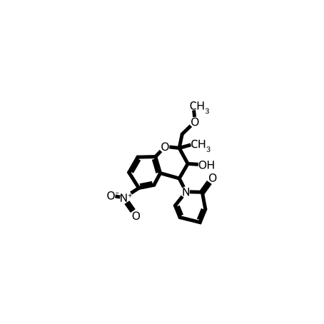 COCC1(C)Oc2ccc([N+](=O)[O-])cc2C(n2ccccc2=O)C1O